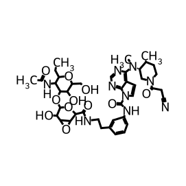 CCC1OC(CO)C(O)C(OC2OC(C(=O)NCCc3cccc(NC(=O)n4ccc5c(N(C)[C@H]6CN(C(=O)CC#N)CC[C@H]6C)ncnc54)c3)C3OC3C2O)C1NC(C)=O